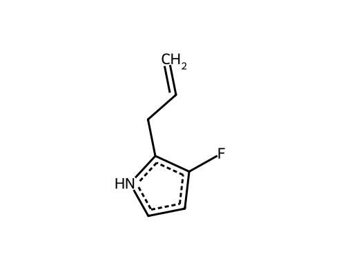 C=CCc1[nH]ccc1F